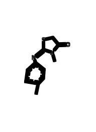 Cc1ccc(/N=C2/SCC(=O)N2C)cc1